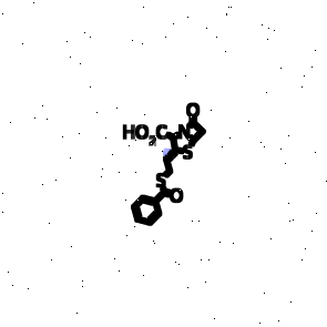 O=C(SC/C=C1\SC2CC(=O)N2C1C(=O)O)c1ccccc1